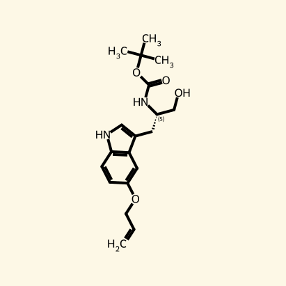 C=CCOc1ccc2[nH]cc(C[C@@H](CO)NC(=O)OC(C)(C)C)c2c1